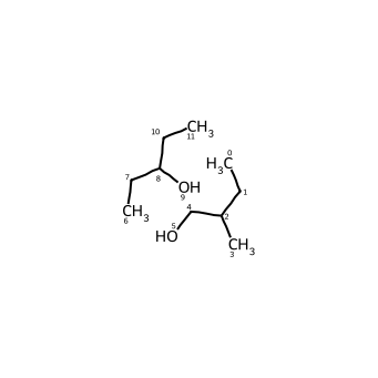 CCC(C)CO.CCC(O)CC